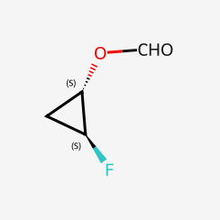 O=CO[C@H]1C[C@@H]1F